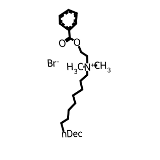 CCCCCCCCCCCCCCCCCC[N+](C)(C)CCOC(=O)c1ccccc1.[Br-]